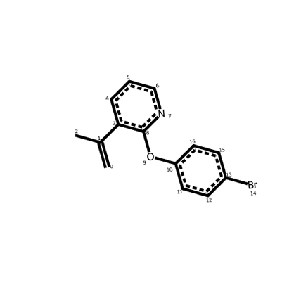 C=C(C)c1cccnc1Oc1ccc(Br)cc1